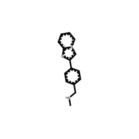 CNCc1ccc(-c2cn3ccccc3n2)cc1